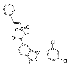 Cc1nn(Cc2ccc(Cl)cc2Cl)c2cc(C(=O)NS(=O)(=O)C=Cc3ccccc3)ccc12